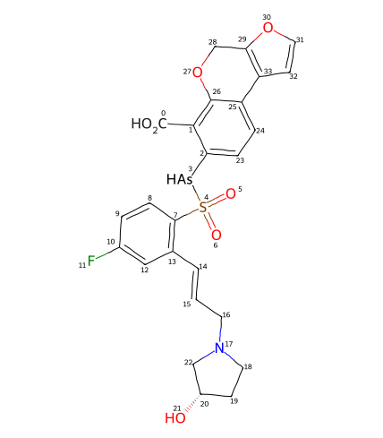 O=C(O)c1c([AsH]S(=O)(=O)c2ccc(F)cc2C=CCN2CC[C@H](O)C2)ccc2c1OCc1occc1-2